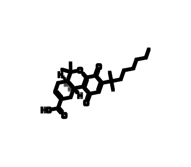 CCCCCCC(C)(C)C1=CC(=O)C2=C(OC(C)(C)[C@@H]3CC=C(C(=O)O)C[C@@H]23)C1=O